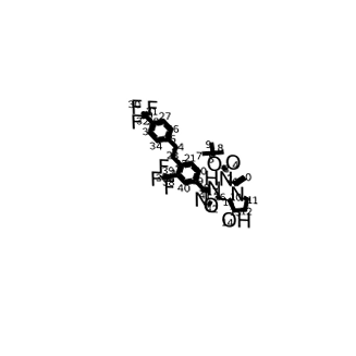 C=C(NC(=O)OC(C)(C)C)N1CC[C@H](O)[C@H]1c1nc(-c2ccc(CCc3ccc(C(F)(F)F)cc3)c(C(F)(F)F)c2)no1